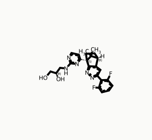 CC1(C)[C@H]2CC[C@]1(c1ccnc(NC[C@@H](O)CO)n1)c1nnc(-c3c(F)cccc3F)cc12